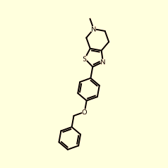 CN1CCc2nc(-c3ccc(OCc4ccccc4)cc3)sc2C1